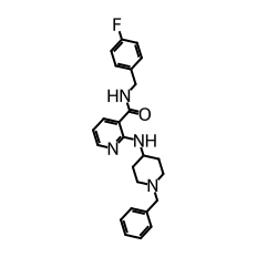 O=C(NCc1ccc(F)cc1)c1cccnc1NC1CCN(Cc2ccccc2)CC1